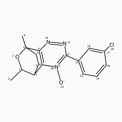 CC1OC2(C)CCC1c1c2nnc(-c2cccc(Cl)c2)[n+]1[O-]